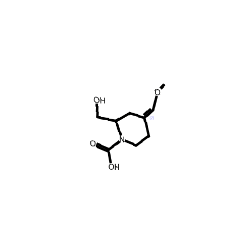 CO/C=C1/CCN(C(=O)O)C(CO)C1